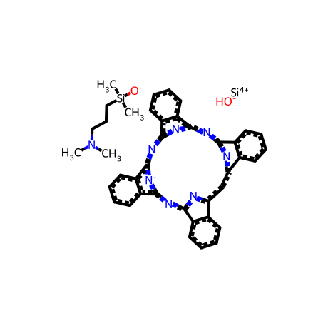 CN(C)CCC[Si](C)(C)[O-].[OH-].[Si+4].c1ccc2c(c1)-c1cc3nc(nc4[n-]c(nc5[n-]c(nc-2n1)c1ccccc51)c1ccccc41)-c1ccccc1-3